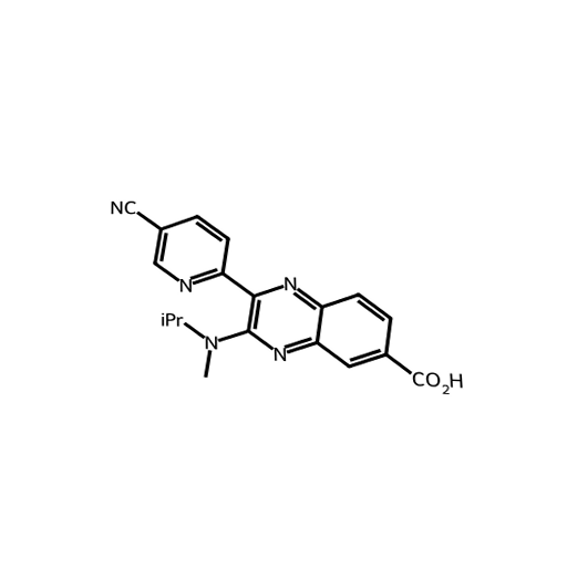 CC(C)N(C)c1nc2cc(C(=O)O)ccc2nc1-c1ccc(C#N)cn1